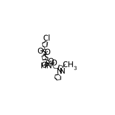 Cc1cc(CC(=O)NS(=O)(=O)c2ccc(S(=O)(=O)c3ccc(Cl)cc3)s2)n(-c2ccccc2)n1